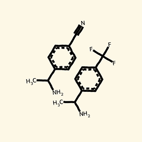 CC(N)c1ccc(C#N)cc1.CC(N)c1ccc(C(F)(F)F)cc1